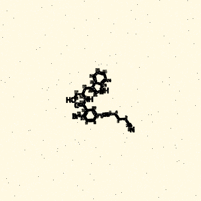 N#CCCCC#Cc1ccc(Br)c(C(=O)N[C@@H](CO)Cc2c[nH]c3ccccc23)c1